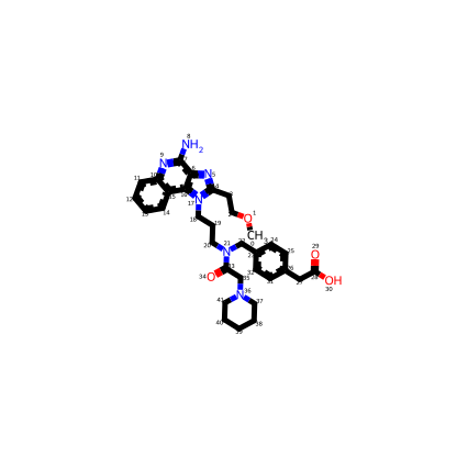 COCCc1nc2c(N)nc3ccccc3c2n1CCCN(Cc1ccc(CC(=O)O)cc1)C(=O)CN1CCCCC1